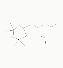 CCOC(OCC)OC1CC(C)(C)NC(C)(C)C1